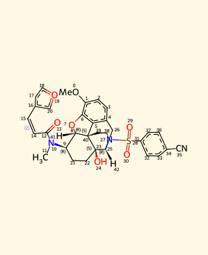 COc1ccc2c3c1O[C@H]1[C@H](N(C)C(=O)/C=C\c4ccoc4)CC[C@@]4(O)[C@@H](C2)N(S(=O)(=O)c2ccc(C#N)cc2)CC[C@]314